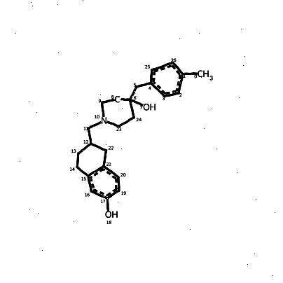 Cc1ccc(CC2(O)CCN(CC3CCc4cc(O)ccc4C3)CC2)cc1